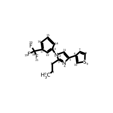 CCCc1nc(-c2ccsc2)cn1-c1cccc(C(F)(F)F)c1